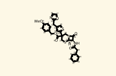 COc1ccc(COC(=O)C2(c3cc(Cc4ncco4)cs3)CS[C@@H]3[C@H](NC(=O)Cc4ccccc4)C(=O)N3C2)cc1